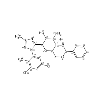 Cc1nc([C@@H]2OC3COC(c4ccccc4)O[C@@H]3C(N)C2O)n(-c2cc(Cl)cc(Cl)c2C(F)(F)F)n1